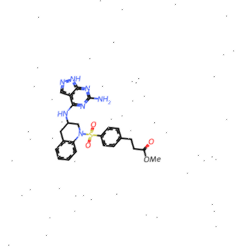 COC(=O)CCc1ccc(S(=O)(=O)N2CC(Nc3nc(N)nc4[nH]ncc34)Cc3ccccc32)cc1